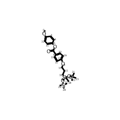 COc1ccc(OC(=O)c2ccc(OCCC[Si](C)(O[Si](C)(C)C)O[Si](C)(C)C)cc2)cc1